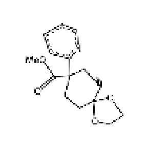 COC(=O)C1(c2ccccn2)CCC2(OCCO2)C2(CCCC2)C1